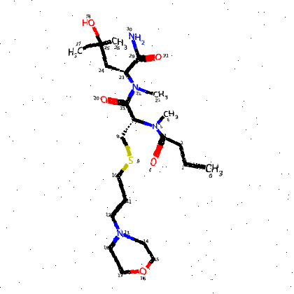 CCCC(=O)N(C)[C@H](CSCCCN1CCOCC1)C(=O)N(C)[C@@H](CC(C)(C)O)C(N)=O